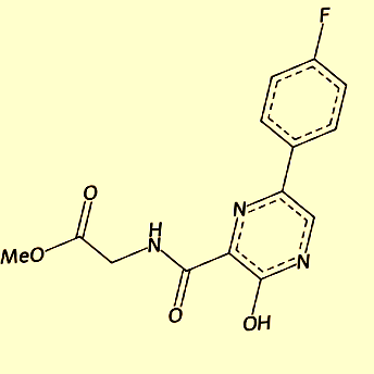 COC(=O)CNC(=O)c1nc(-c2ccc(F)cc2)cnc1O